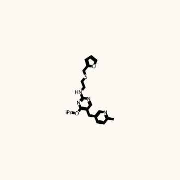 Cc1ccc(Cc2cnc(NCCSCc3ccco3)nc2OC(C)C)cn1